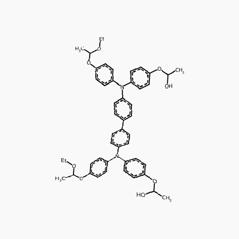 CCOC(C)Oc1ccc(N(c2ccc(OC(C)O)cc2)c2ccc(-c3ccc(N(c4ccc(OC(C)O)cc4)c4ccc(OC(C)OCC)cc4)cc3)cc2)cc1